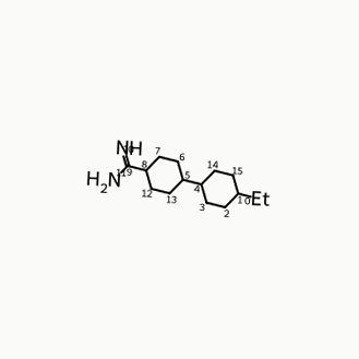 CCC1CCC(C2CCC(C(=N)N)CC2)CC1